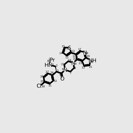 CC(C)NC[C@@H](C(=O)N1CCN(c2c(-c3cccs3)cnc3[nH]ccc23)CC1)c1ccc(Cl)cc1